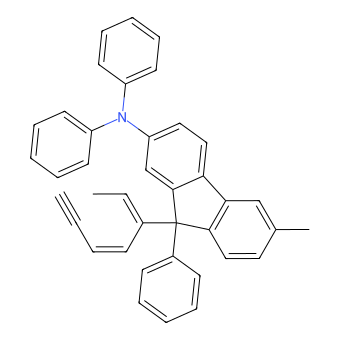 C#C/C=C\C(=C/C)C1(c2ccccc2)c2ccc(C)cc2-c2ccc(N(c3ccccc3)c3ccccc3)cc21